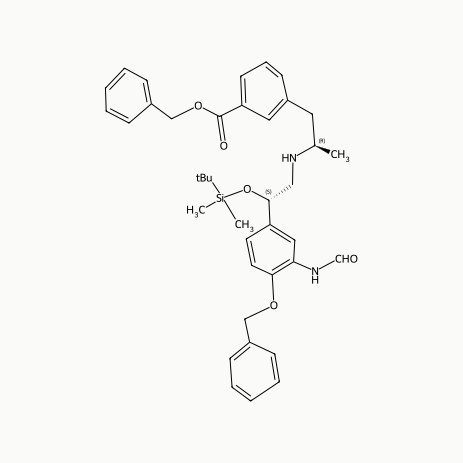 C[C@H](Cc1cccc(C(=O)OCc2ccccc2)c1)NC[C@@H](O[Si](C)(C)C(C)(C)C)c1ccc(OCc2ccccc2)c(NC=O)c1